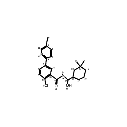 Cc1ccc(-c2ccc(Cl)c(C(=O)NC(O)C3CCCC(C)(C)C3)c2)nc1